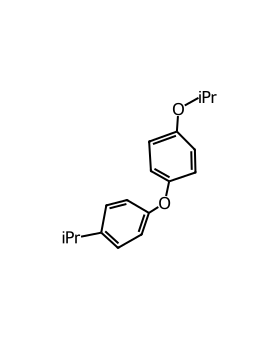 CC(C)Oc1ccc(Oc2ccc(C(C)C)cc2)cc1